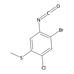 CSc1cc(N=C=O)c(Br)cc1Cl